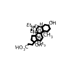 CCN(CC)CC.C[C@]12CC[C@H](O)C[C@H]1CC[C@@H]1[C@@H]2CC[C@@]2(C)[C@H]1CC[C@@]2(O)CCC(=O)O